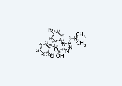 CN(C)Cc1nnc(CO)n1-c1ccc(F)cc1C(=O)c1ccccc1Cl